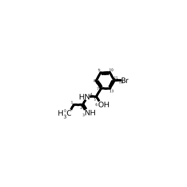 CCC(=N)NC(O)c1cccc(Br)c1